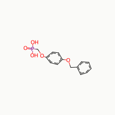 O=P(O)(O)COc1ccc(OCc2ccccc2)cc1